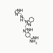 N=C(N)c1ccc2nc(Cc3nc4ccccc4n3CCNCc3ncc[nH]3)[nH]c2c1